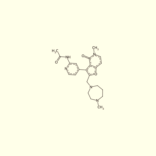 CC(=O)Nc1cc(-c2c(CN3CCCN(C)CC3)oc3ccn(C)c(=O)c23)ccn1